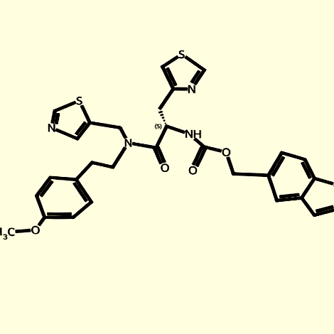 COc1ccc(CCN(Cc2cncs2)C(=O)[C@H](Cc2cscn2)NC(=O)OCc2ccc3occc3c2)cc1